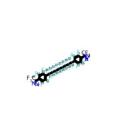 Fc1c(F)c(C2(C(F)(F)F)N=N2)c(F)c(F)c1C(F)(F)C(F)(F)C(F)(F)C(F)(F)C(F)(F)C(F)(F)C(F)(F)C(F)(F)c1c(F)c(F)c(C2(C(F)(F)F)N=N2)c(F)c1F